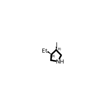 CC[C@@H]1CNC[C@@H]1I